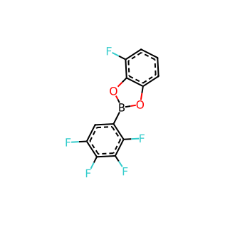 Fc1cc(B2Oc3cccc(F)c3O2)c(F)c(F)c1F